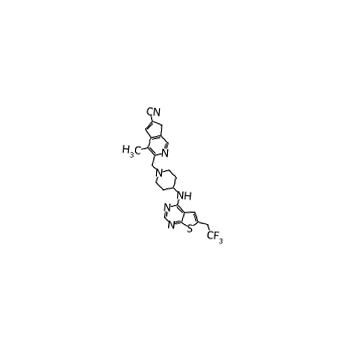 Cc1c(CN2CCC(Nc3ncnc4sc(CC(F)(F)F)cc34)CC2)ncc2c1C=C(C#N)C2